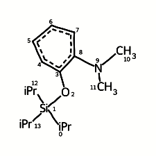 CC(C)[Si](Oc1ccccc1N(C)C)(C(C)C)C(C)C